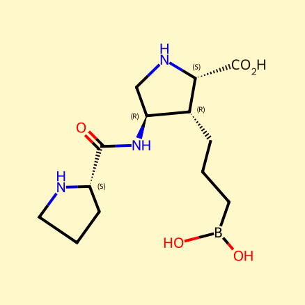 O=C(N[C@H]1CN[C@H](C(=O)O)[C@@H]1CCCB(O)O)[C@@H]1CCCN1